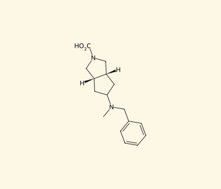 CN(Cc1ccccc1)C1C[C@@H]2CN(C(=O)O)C[C@@H]2C1